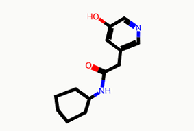 O=C(Cc1cncc(O)c1)NC1CCCCC1